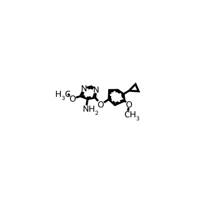 COc1cc(Oc2ncnc(OC)c2N)ccc1C1CC1